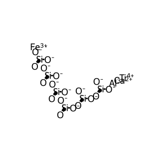 O=[Si]([O-])[O-].O=[Si]([O-])[O-].O=[Si]([O-])[O-].O=[Si]([O-])[O-].O=[Si]([O-])[O-].O=[Si]([O-])[O-].[Al+3].[Ca+2].[Fe+3].[Ti+4]